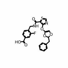 O=C(O)c1ccc(CNC(=O)c2scnc2OC2=COC(Cc3ccccc3)O2)c(F)c1